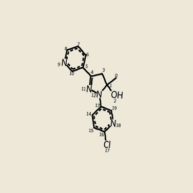 CC1(O)CC(c2cccnc2)=NN1c1ccc(Cl)nc1